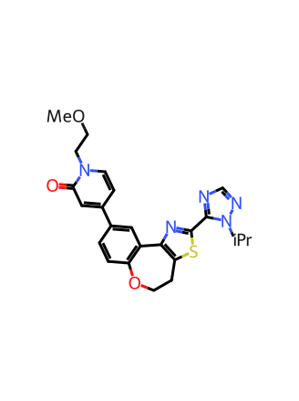 COCCn1ccc(-c2ccc3c(c2)-c2nc(-c4ncnn4C(C)C)sc2CCO3)cc1=O